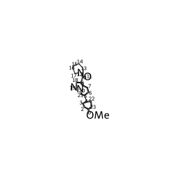 COc1ccc(-c2ccc3c(C(=O)N4CCCCC4)cnn3c2)cc1